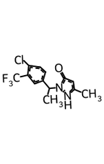 Cc1cc(=O)n(C(C)c2ccc(Cl)c(C(F)(F)F)c2)[nH]1